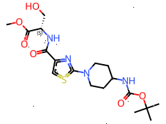 COC(=O)[C@H](CO)NC(=O)c1csc(N2CCC(NC(=O)OC(C)(C)C)CC2)n1